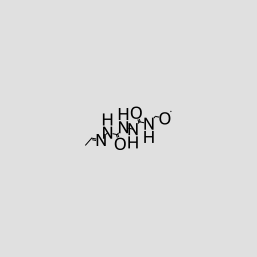 CC=NNC(=O)NNC(=O)NCOC